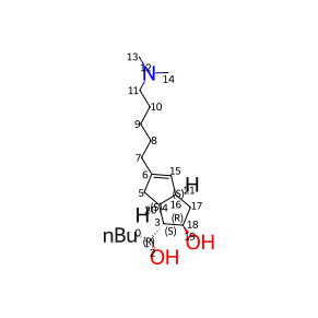 CCCC[C@@H](O)[C@@H]1[C@H]2CC(CCCCCN(C)C)=C[C@H]2C[C@H]1O